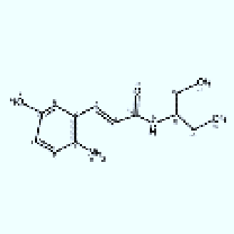 Nc1ccc(O)cc1C=CC(=O)NC(CO)CO